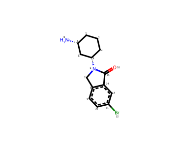 N[C@@H]1CCC[C@H](N2Cc3ccc(Br)cc3C2=O)C1